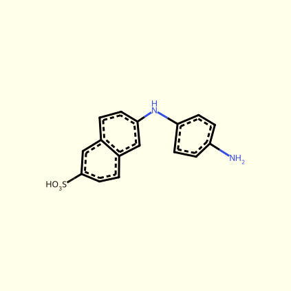 Nc1ccc(Nc2ccc3cc(S(=O)(=O)O)ccc3c2)cc1